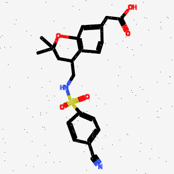 CC1(C)CC(CNS(=O)(=O)c2ccc(C#N)cc2)c2ccc(CC(=O)O)cc2O1